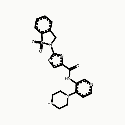 O=C(Nc1cnccc1N1CCNCC1)c1csc(N2Cc3ccccc3S2(=O)=O)n1